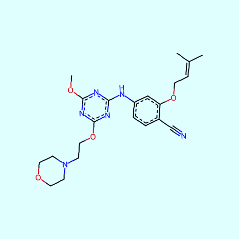 COc1nc(Nc2ccc(C#N)c(OCC=C(C)C)c2)nc(OCCN2CCOCC2)n1